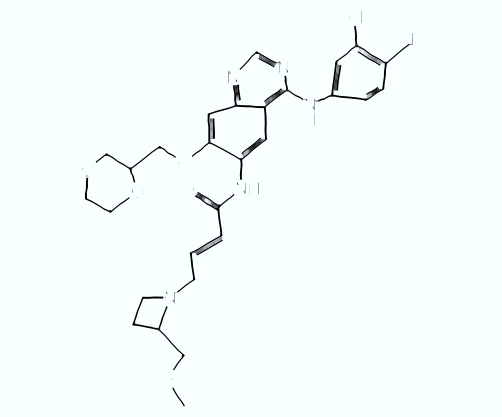 COCC1CCN1C/C=C/C(=O)Nc1cc2c(Nc3ccc(F)c(Cl)c3)ncnc2cc1OCC1COCCO1